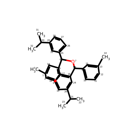 Cc1cccc(C(OC(c2cccc(C)c2)c2cccc(C(C)C)c2)c2cccc(C(C)C)c2)c1